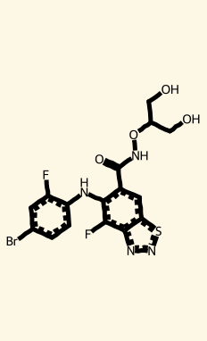 O=C(NOC(CO)CO)c1cc2snnc2c(F)c1Nc1ccc(Br)cc1F